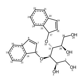 OC[C@@H](O)[C@@H](OC1C=Cc2ccccc21)[C@H](OC1C=Cc2ccccc21)[C@H](O)CO